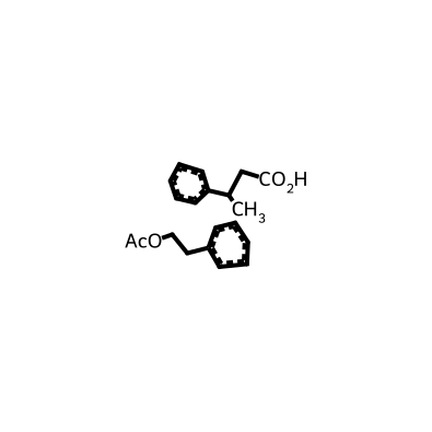 CC(=O)OCCc1ccccc1.CC(CC(=O)O)c1ccccc1